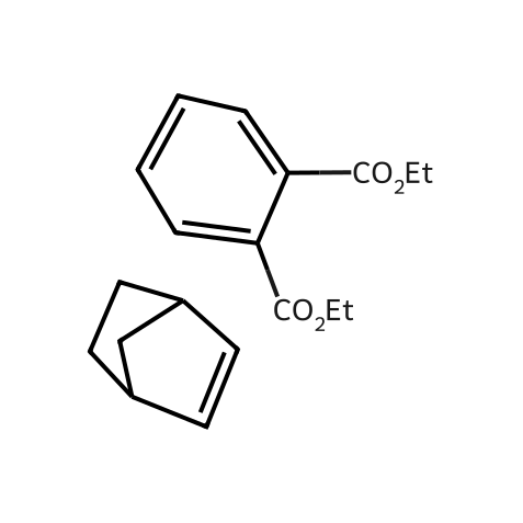 C1=CC2CCC1C2.CCOC(=O)c1ccccc1C(=O)OCC